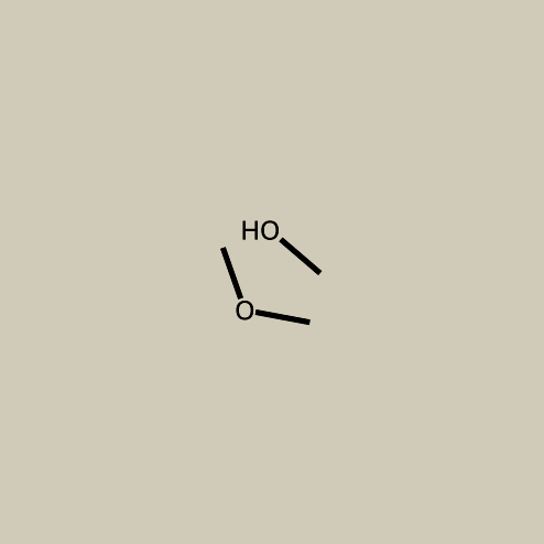 CO.COC